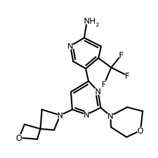 Nc1cc(C(F)(F)F)c(-c2cc(N3CC4(COC4)C3)nc(N3CCOCC3)n2)cn1